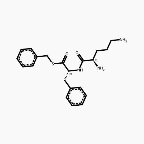 NCCC[C@@H](N)C(=O)N[C@H](Cc1ccccc1)C(=O)SCc1ccccc1